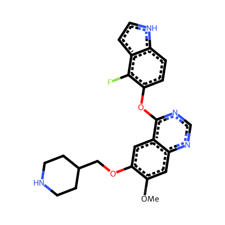 COc1cc2ncnc(Oc3ccc4[nH]ccc4c3F)c2cc1OCC1CCNCC1